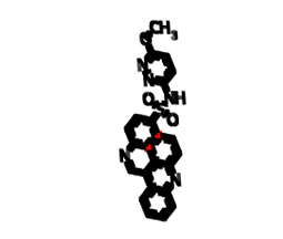 COc1ccc(NS(=O)(=O)c2ccc(/N=C\c3c4ccccc4nc4ccccc34)cc2)nn1